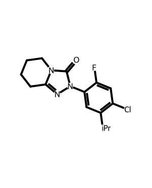 CC(C)c1cc(-n2nc3n(c2=O)CCCC3)c(F)cc1Cl